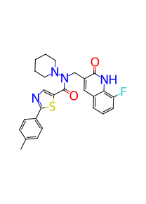 Cc1ccc(-c2ncc(C(=O)N(Cc3cc4cccc(F)c4[nH]c3=O)N3CCCCC3)s2)cc1